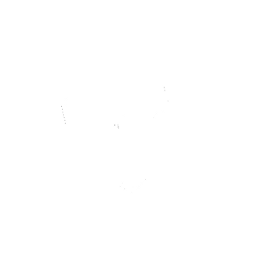 Fc1cccc(-c2ccc(Cl)cc2)c1-c1ccc2ccccc2n1